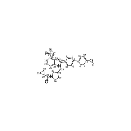 COc1ccc(-c2ccc(-c3nc4c(C(F)(F)F)cccc4n3C[C@H]3CCN(C(=O)C4CC4)C3)cc2)cc1